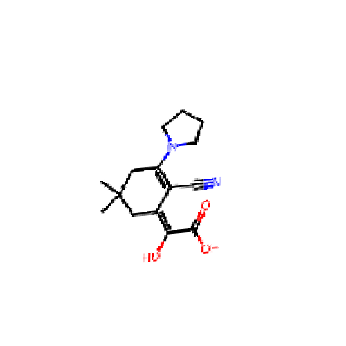 CC1(C)CC(N2CCCC2)=C(C#N)/C(=C(/O)C(=O)O)C1